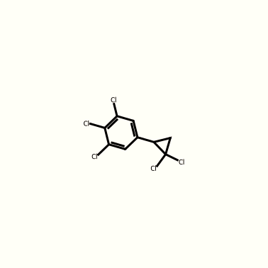 Clc1cc(C2CC2(Cl)Cl)cc(Cl)c1Cl